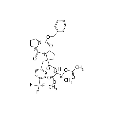 COC(=O)[C@@H](NC(=O)C1(Cc2ccc(C(F)(F)F)cc2)CCCN1C(=O)[C@@H]1CCCN1C(=O)OCc1ccccc1)[C@@H](C)OC(C)=O